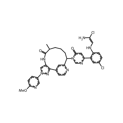 COc1ccc(-n2cc3c(n2)-c2ccnc(c2)C(n2cnc(-c4cc(Cl)ccc4N/C=C(\N)Cl)cc2=O)CCCC(C)C(=O)N3)cn1